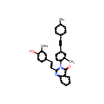 COc1cc(/C=C/c2nc3ccccc3c(=O)n2-c2ccc(C#Cc3ccc(C(C)(C)C)cc3)cc2C)ccc1O